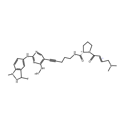 CCCNc1nc(Nc2ccc3c(c2)C(F)NN3C)ncc1C#CCCCNC(=O)[C@@H]1CCCN1C(=O)/C=C/CN(C)C